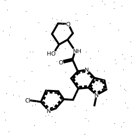 Cn1ccc2nc(C(=O)NC3COCCC3O)cc(Cc3ccc(Cl)nc3)c21